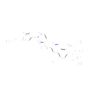 CC(C)c1ccc(N[C@H](C)[C@H](C)CS(C)(=O)=O)c2cnc(Nc3ccnc(-c4cn(CCO)nc4F)n3)cc12